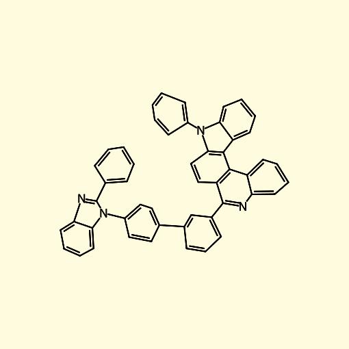 c1ccc(-c2nc3ccccc3n2-c2ccc(-c3cccc(-c4nc5ccccc5c5c4ccc4c5c5ccccc5n4-c4ccccc4)c3)cc2)cc1